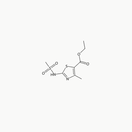 CCOC(=O)c1sc(NS(C)(=O)=O)nc1C